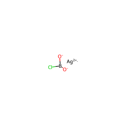 [Ag+2].[O-]B([O-])Cl